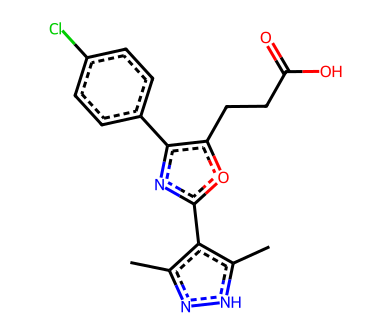 Cc1n[nH]c(C)c1-c1nc(-c2ccc(Cl)cc2)c(CCC(=O)O)o1